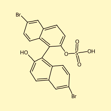 O=S(=O)(O)Oc1ccc2cc(Br)ccc2c1-c1c(O)ccc2cc(Br)ccc12